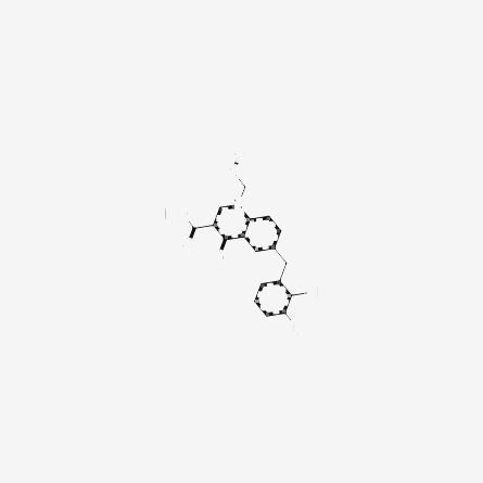 O=[S+]Cn1cc(C(=O)O)c(=O)c2cc(Cc3cccc(Cl)c3Cl)ccc21